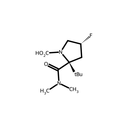 CN(C)C(=O)[C@@]1(C(C)(C)C)C[C@@H](F)CN1C(=O)O